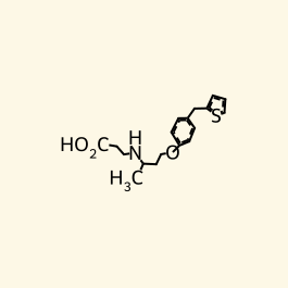 CC(CCOc1ccc(Cc2cccs2)cc1)NCCC(=O)O